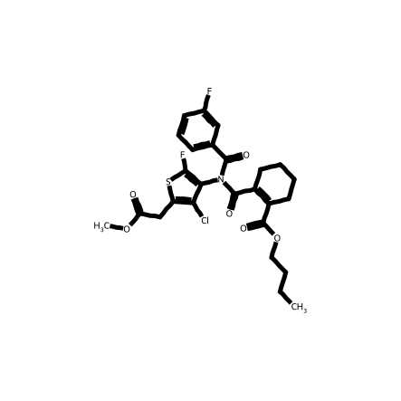 CCCCOC(=O)C1=C(C(=O)N(C(=O)c2cccc(F)c2)c2c(F)sc(CC(=O)OC)c2Cl)CCCC1